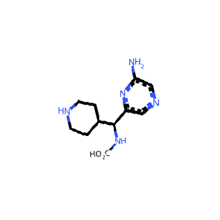 Nc1cncc(C(NC(=O)O)C2CCNCC2)n1